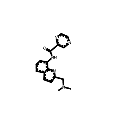 CN(C)Cc1ccc2cccc(NC(=O)c3cnccn3)c2n1